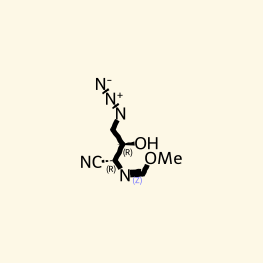 CO/C=N\[C@H](C#N)[C@H](O)CN=[N+]=[N-]